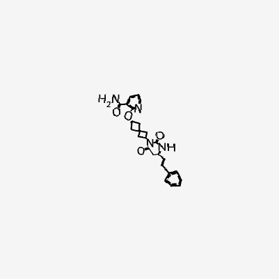 NC(=O)c1cccnc1OC1CC2(C1)CC(N1C(=O)CC(CCc3ccccc3)NC1=O)C2